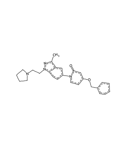 Cc1nn(CCN2CCCC2)c2ccc(-n3ccc(OCc4ccccc4)cc3=O)cc12